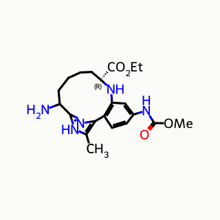 CCOC(=O)[C@H]1CCCCC(N)c2nc(c(C)[nH]2)-c2ccc(NC(=O)OC)cc2N1